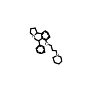 c1ccc(C2CN3CCCC3c3cccc(OCCCN4CCCCC4)c32)cc1